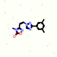 Cc1cc(C)cc(-c2ncn(/C=C\c3noc(=O)n3C)n2)c1